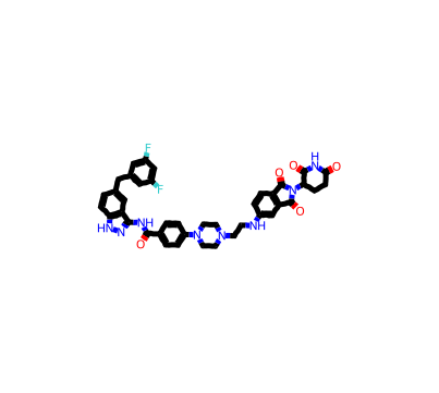 O=C1CCC(N2C(=O)c3ccc(NCCN4CCN(c5ccc(C(=O)Nc6n[nH]c7ccc(Cc8cc(F)cc(F)c8)cc67)cc5)CC4)cc3C2=O)C(=O)N1